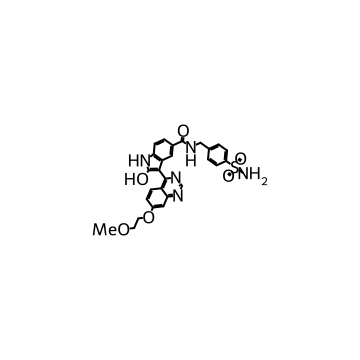 COCCOc1ccc2c(-c3c(O)[nH]c4ccc(C(=O)NCc5ccc(S(N)(=O)=O)cc5)cc34)ncnc2c1